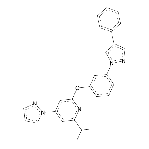 CC(C)c1cc(-n2cccn2)cc(Oc2cccc(-n3cc(-c4ccccc4)cn3)c2)n1